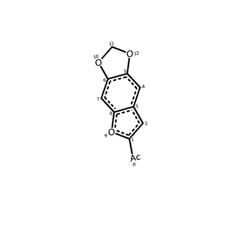 CC(=O)c1cc2cc3c(cc2o1)OCO3